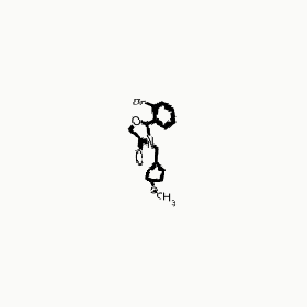 COc1ccc(CN2C(=O)COC2c2ccccc2Br)cc1